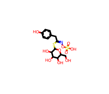 O=S(=O)(O)ON=C(Cc1ccc(O)cc1)SC1OC(CO)C(O)C(O)C1O